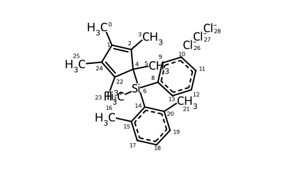 CC1=C(C)C(C)([Si](C)(c2ccccc2)c2c(C)cccc2C)[C]([Ti+3])=C1C.[Cl-].[Cl-].[Cl-]